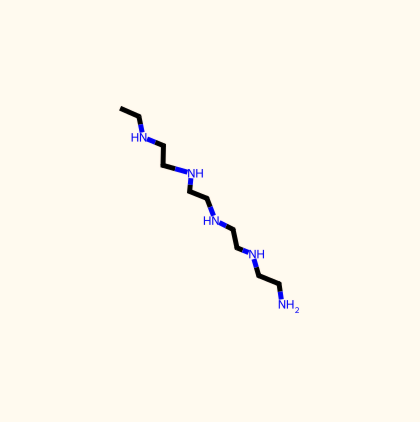 CCNCCNCCNCCNCCN